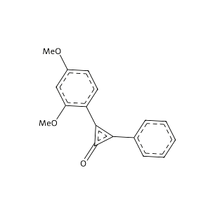 COc1ccc(-c2c(-c3ccccc3)c2=O)c(OC)c1